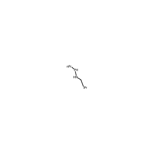 CCCPNCC(C)C